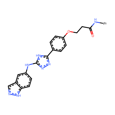 CC(C)NC(=O)CCOc1ccc(-c2nnc(Nc3ccc4[nH]ncc4c3)[nH]2)cc1